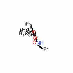 CC(C)C#CCNC(=O)COCCOC(CCCC(C)C)C(C)(C)[Si](C)(C)C